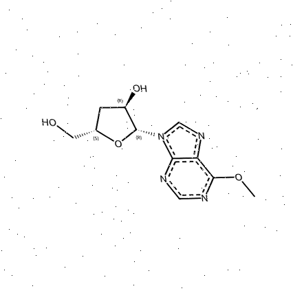 COc1ncnc2c1ncn2[C@@H]1O[C@H](CO)C[C@H]1O